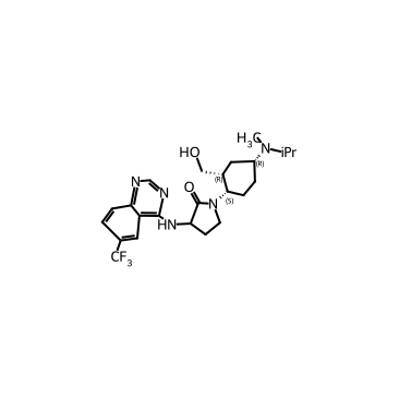 CC(C)N(C)[C@@H]1CC[C@H](N2CCC(Nc3ncnc4ccc(C(F)(F)F)cc34)C2=O)[C@H](CO)C1